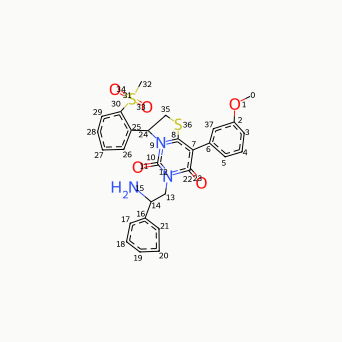 COc1cccc(-c2c3n(c(=O)n(CC(N)c4ccccc4)c2=O)C(c2ccccc2S(C)(=O)=O)CS3)c1